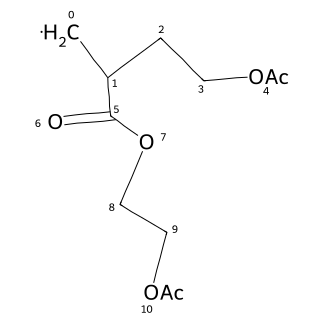 [CH2]C(CCOC(C)=O)C(=O)OCCOC(C)=O